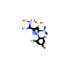 CN(C)c1c([S+]([O-])C(F)(F)F)c(C(N)=NO)nn1-c1c(Cl)cc(C(F)(F)F)cc1Cl